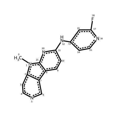 Cn1c2ccncc2c2ccc(Nc3ccnc(F)c3)nc21